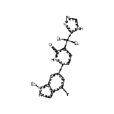 CCn1ncc2c(F)cc(-c3ccc(C(CC)(CC)c4nnc[nH]4)c(=O)[nH]3)cc21